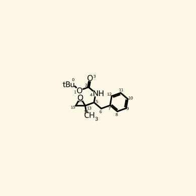 CC(C)(C)OC(=O)NC(Cc1ccccc1)C1(C)CO1